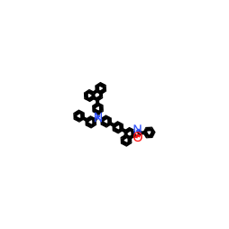 c1ccc(-c2cccc(N(c3ccc(-c4ccc(-c5cc6nc(-c7ccccc7)oc6c6ccccc56)cc4)cc3)c3ccc(-c4cc5ccccc5c5ccccc45)cc3)c2)cc1